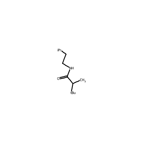 CC(C)CCNC(=O)C(C)C(C)(C)C